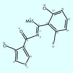 CS/C(=N\C(=O)c1cscc1Cl)c1c(F)cccc1Cl